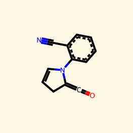 N#Cc1ccccc1N1C=CCC1=C=O